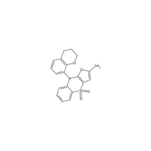 Cc1cc2c(o1)N(c1cccc3c1OCCC3)c1ccccc1S2(=O)=O